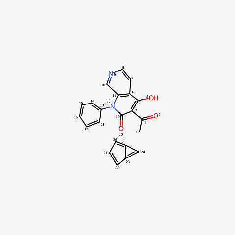 CC(=O)c1c(O)c2ccncc2n(-c2ccccc2)c1=O.c1cc2cc-2c1